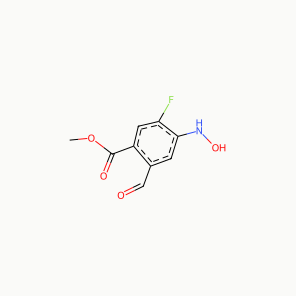 COC(=O)c1cc(F)c(NO)cc1C=O